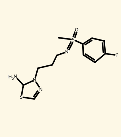 CS(=O)(=NCCCN1N=CSC1N)c1ccc(F)cc1